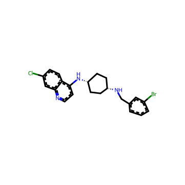 Clc1ccc2c(N[C@H]3CC[C@@H](NCc4cccc(Br)c4)CC3)ccnc2c1